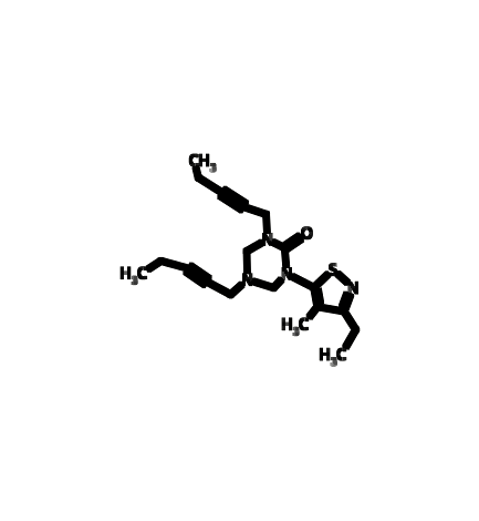 CCC#CCN1CN(CC#CCC)C(=O)N(c2snc(CC)c2C)C1